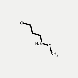 [SiH3]O[SiH2]CCCCl